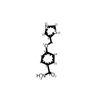 NC(=O)c1ccc(OCc2cncs2)cc1